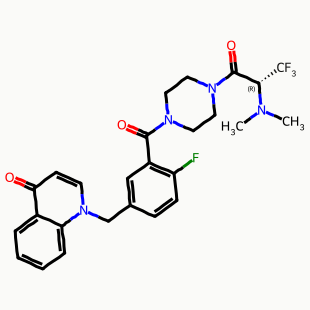 CN(C)[C@H](C(=O)N1CCN(C(=O)c2cc(Cn3ccc(=O)c4ccccc43)ccc2F)CC1)C(F)(F)F